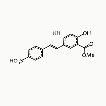 COC(=O)c1cc(/C=C/c2ccc(S(=O)(=O)O)cc2)ccc1O.[KH]